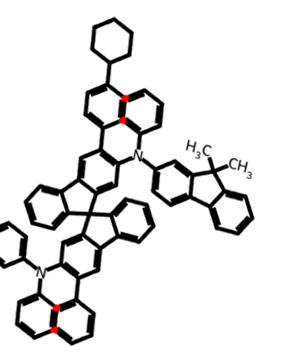 CC1(C)c2ccccc2-c2ccc(N(c3ccccc3)c3cc4c(cc3-c3ccc(C5CCCCC5)cc3)-c3ccccc3C43c4ccccc4-c4cc(-c5ccccc5)c(N(c5ccccc5)c5ccccc5)cc43)cc21